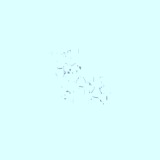 COC(=O)CCc1cccc(C2(c3cnc(-c4cc(Oc5c(F)c(F)c6[nH]ccc6c5SC)ccc4F)[nH]3)CC(C)(OC)C2)c1